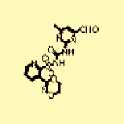 Cc1cc(C=O)nc(NC(=O)NS(=O)(=O)c2ncccc2C2=NOCCO2)n1